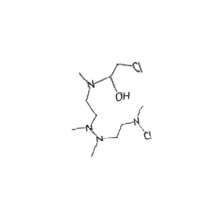 CN(Cl)CCN(C)N(C)CCN(C)C(O)CCl